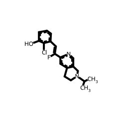 CC(C)N1CCc2cc(C(F)=Cc3cccc(O)c3Cl)ncc2C1